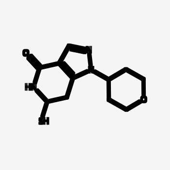 O=C1NC(S)Cc2c1cnn2C1CCOCC1